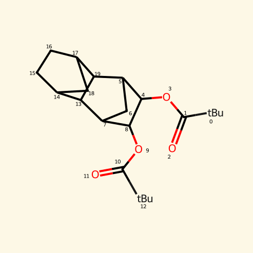 CC(C)(C)C(=O)OC1C2CC(C1OC(=O)C(C)(C)C)C1C3CCC(C3)C21